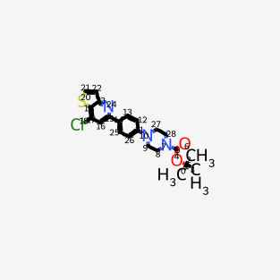 CC(C)(C)OC(=O)N1CCN(c2ccc(-c3cc(Cl)c4sccc4n3)cc2)CC1